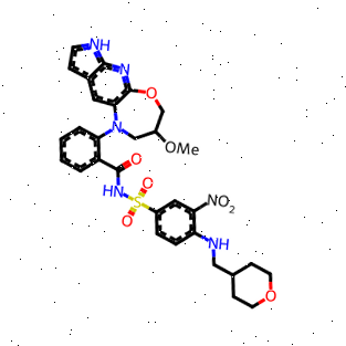 COC1COc2nc3[nH]ccc3cc2N(c2ccccc2C(=O)NS(=O)(=O)c2ccc(NCC3CCOCC3)c([N+](=O)[O-])c2)C1